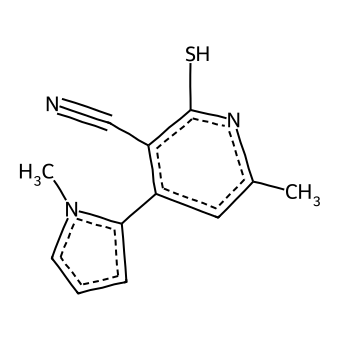 Cc1cc(-c2cccn2C)c(C#N)c(S)n1